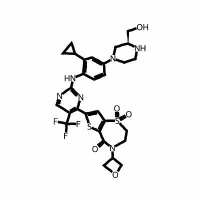 O=C1c2sc(-c3nc(Nc4ccc(N5CCN[C@H](CO)C5)cc4C4CC4)ncc3C(F)(F)F)cc2S(=O)(=O)CCN1C1COC1